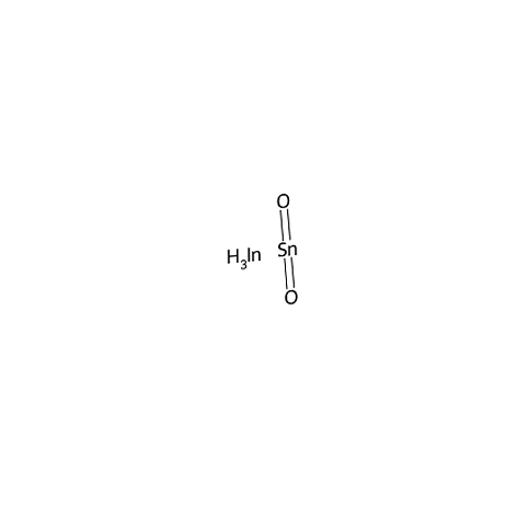 [InH3].[O]=[Sn]=[O]